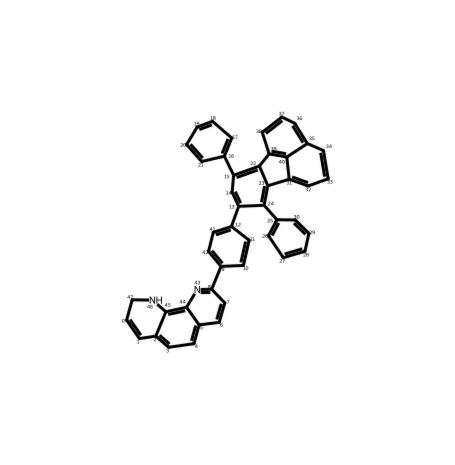 C1=Cc2ccc3ccc(-c4ccc(-c5cc(-c6ccccc6)c6c(c5-c5ccccc5)-c5cccc7cccc-6c57)cc4)nc3c2NC1